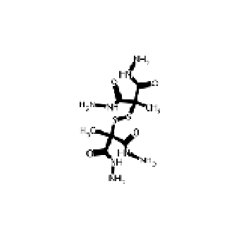 CC(SSC(C)(C(=O)NN)C(=O)NN)(C(=O)NN)C(=O)NN